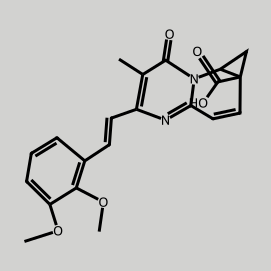 COc1cccc(/C=C/c2nc3n(c(=O)c2C)C2CC2(C(=O)O)C=C3)c1OC